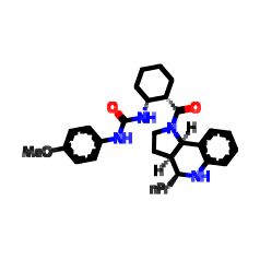 CCC[C@@H]1Nc2ccccc2[C@H]2[C@@H]1CCN2C(=O)[C@H]1CCCC[C@H]1NC(=O)Nc1ccc(OC)cc1